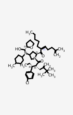 C=C(C)CC/C=C(/CCCCC)C(=O)[C@@H]1CC(N(C2CCC(C)CC2)C(O)[C@@H]2CCCO2)CN1C(=O)[C@H](CC(=C)C(C)(C)C)[C@@H](CC)c1ccc(Cl)cc1